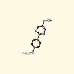 CCCCCCOc1ccc(-c2ncc(OO)cn2)cc1